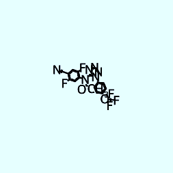 CC(=O)N(c1cc(F)c(C#N)cc1F)c1nnnn1-c1ccc(OC(F)(F)F)cc1